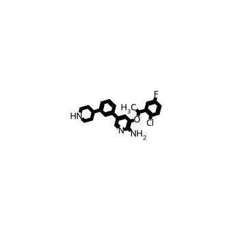 CC(Oc1cc(-c2cccc(C3CCNCC3)c2)cnc1N)c1cc(F)ccc1Cl